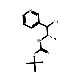 C[C@H](NC(=O)OC(C)(C)C)C(O)c1cccnc1